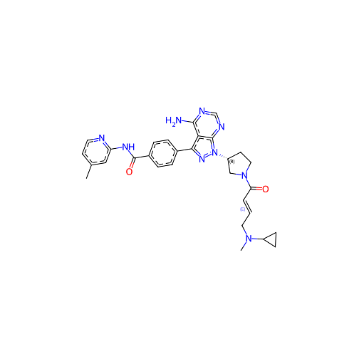 Cc1ccnc(NC(=O)c2ccc(-c3nn([C@@H]4CCN(C(=O)/C=C/CN(C)C5CC5)C4)c4ncnc(N)c34)cc2)c1